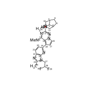 CNc1nc(NC2C3CCC2CN(C)C3)nn2ccc(-c3ccc4nc(C)n(CC(F)F)c4n3)c12